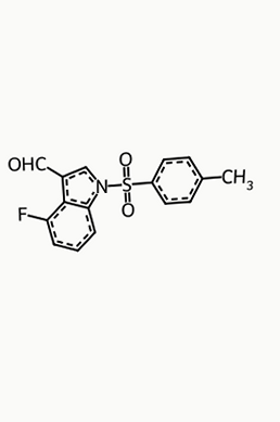 Cc1ccc(S(=O)(=O)n2cc(C=O)c3c(F)cccc32)cc1